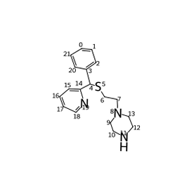 c1ccc(C(SCCN2CCNCC2)c2ccccn2)cc1